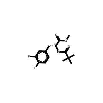 COC(=O)[C@@H](Cc1ccc(F)c(F)c1)NC(=O)C(C)(C)C